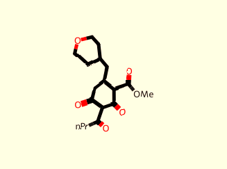 CCCC(=O)C1C(=O)CC(CC2CCOCC2)C(C(=O)OC)C1=O